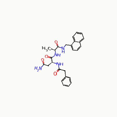 C[C@H](NC(=O)[C@H](CC(N)=O)NC(=O)Cc1ccccc1)C(=O)NCc1cccc2ccccc12